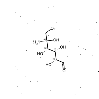 N[C@@](O)(CO)[C@@H](O)[C@H](O)[C@@H](O)C=O